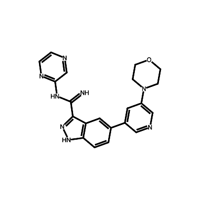 N=C(Nc1cnccn1)c1n[nH]c2ccc(-c3cncc(N4CCOCC4)c3)cc12